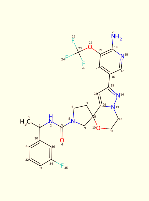 CC(NC(=O)N1CCC2(C1)OCCn1nc(-c3cnc(N)c(OC(F)(F)F)c3)cc12)c1cccc(F)c1